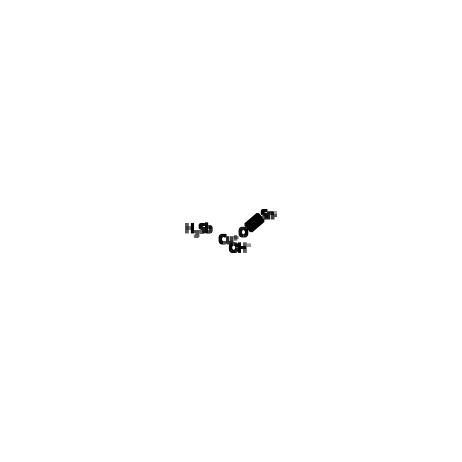 [Cu+].[OH-].[O]=[Sn].[SbH3]